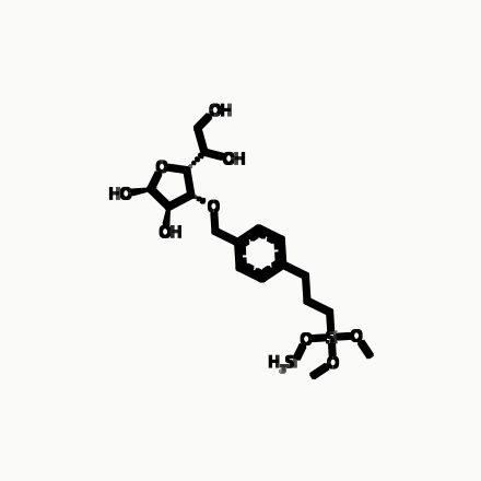 CO[Si](CCCc1ccc(CO[C@@H]2[C@@H](O)[C@@H](O)O[C@@H]2C(O)CO)cc1)(OC)O[SiH3]